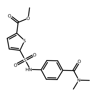 COC(=O)c1ccc(S(=O)(=O)Nc2ccc(C(=O)N(C)C)cc2)s1